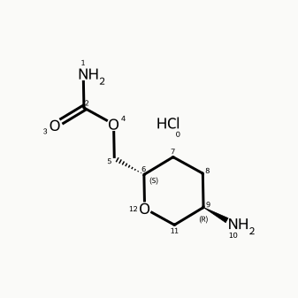 Cl.NC(=O)OC[C@@H]1CC[C@@H](N)CO1